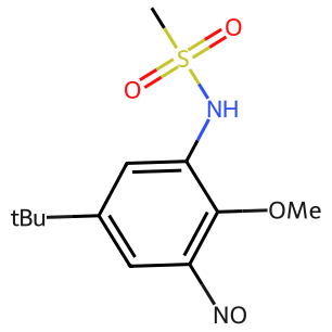 COc1c(N=O)cc(C(C)(C)C)cc1NS(C)(=O)=O